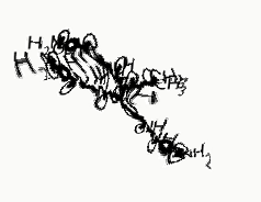 CC(C)(C)CCCC(=O)NC(COCCC(=O)NCCCNC(=O)c1ccc(S(N)(=O)=O)cc1)(COCCC(=O)NCCCNC(=O)c1ccc(S(N)(=O)=O)cc1)COCCC(=O)NCCCNC(=O)c1ccc(S(N)(=O)=O)cc1